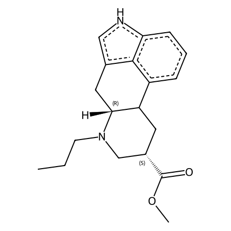 CCCN1C[C@@H](C(=O)OC)CC2c3cccc4[nH]cc(c34)C[C@H]21